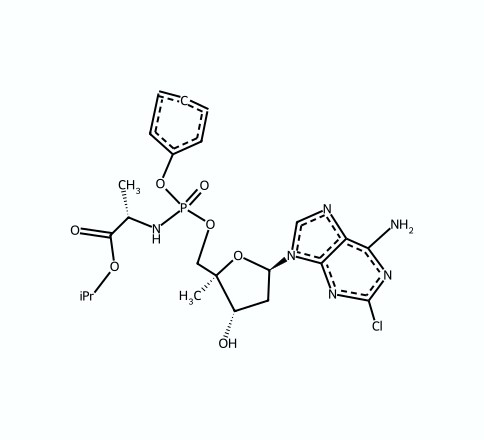 CC(C)OC(=O)[C@H](C)NP(=O)(OC[C@@]1(C)O[C@@H](n2cnc3c(N)nc(Cl)nc32)C[C@@H]1O)Oc1ccccc1